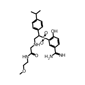 COCCNC(=O)CNCC(c1ccc(C(C)C)cc1)S(=O)(=O)c1cc(C(=N)N)ccc1O